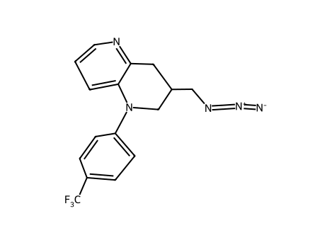 [N-]=[N+]=NCC1Cc2ncccc2N(c2ccc(C(F)(F)F)cc2)C1